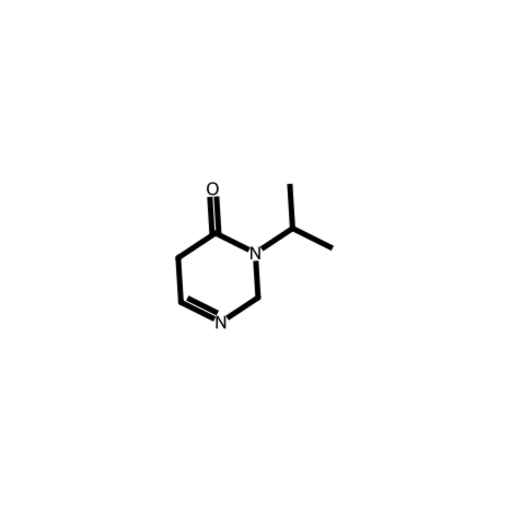 CC(C)N1CN=CCC1=O